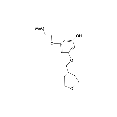 COCCOc1cc(O)cc(OCC2CCOCC2)c1